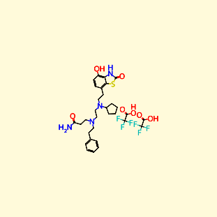 NC(=O)CCN(CCc1ccccc1)CCN(CCc1ccc(O)c2[nH]c(=O)sc12)C1CCCC1.O=C(O)C(F)(F)F.O=C(O)C(F)(F)F